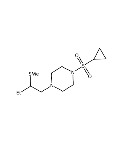 CCC(CN1CCN(S(=O)(=O)C2CC2)CC1)SC